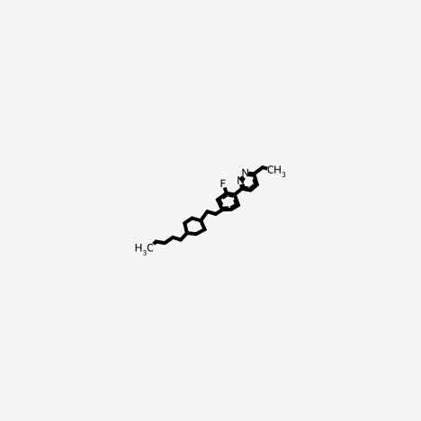 CCCCCC1CCC(CCc2ccc(-c3ccc(CC)nn3)c(F)c2)CC1